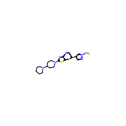 Cn1cc(-c2cnc3nc(N4CCC(N5CCCCC5)CC4)sc3c2)cn1